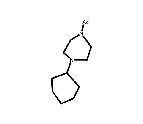 CC(=O)N1CCN(C2CCCCC2)CC1